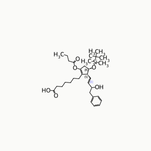 CCCC(=O)OC1=C(CCCCCCC(=O)O)[C@H](/C=C/C(O)Cc2ccccc2)[C@H](O[Si](C)(C)C(C)(C)C)C1